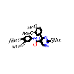 COc1ccc(NC(=O)c2cnc(SC)nc2-c2ccc(OC)c(OC)c2)cc1OC